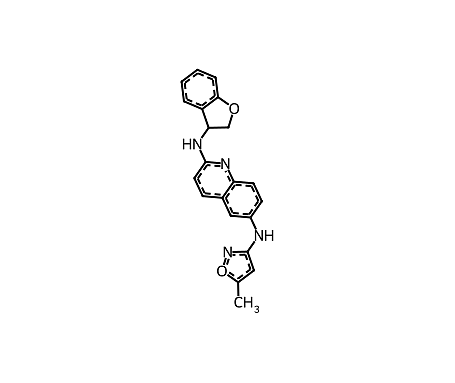 Cc1cc(Nc2ccc3nc(NC4COc5ccccc54)ccc3c2)no1